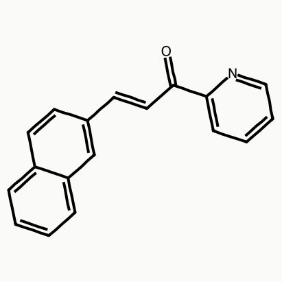 O=C(C=Cc1ccc2ccccc2c1)c1ccccn1